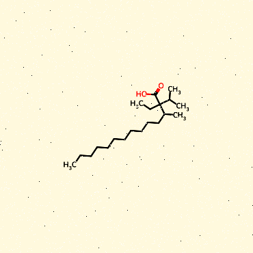 CCCCCCCCCCCC(C)C(CC)(C(=O)O)C(C)C